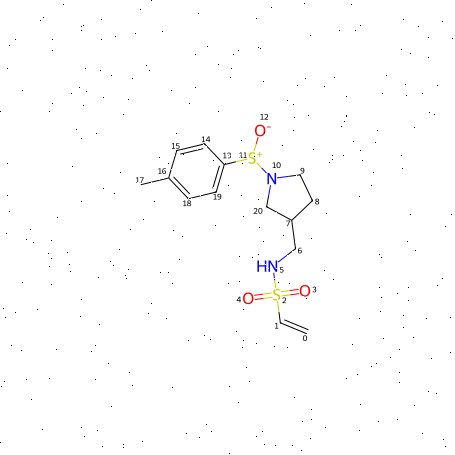 C=CS(=O)(=O)NCC1CCN([S+]([O-])c2ccc(C)cc2)C1